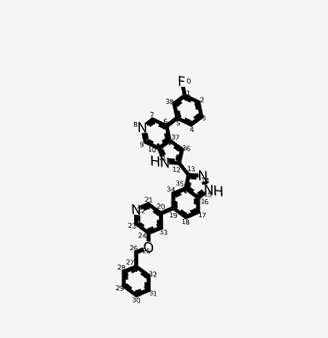 Fc1cccc(-c2cncc3[nH]c(-c4n[nH]c5ccc(-c6cncc(OCc7ccccc7)c6)cc45)cc23)c1